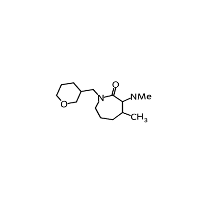 CNC1C(=O)N(CC2CCCOC2)CCCC1C